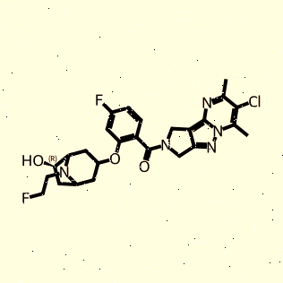 Cc1nc2c3c(nn2c(C)c1Cl)CN(C(=O)c1ccc(F)cc1OC1CC2C[C@@H](O)C(C1)N2CCF)C3